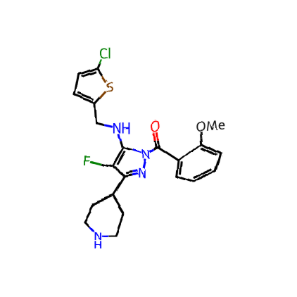 COc1ccccc1C(=O)n1nc(C2CCNCC2)c(F)c1NCc1ccc(Cl)s1